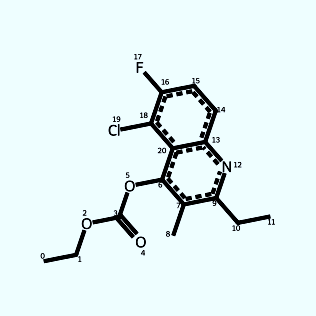 CCOC(=O)Oc1c(C)c(CC)nc2ccc(F)c(Cl)c12